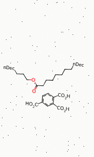 CCCCCCCCCCCCCCCCCC(=O)OCCCCCCCCCCCCC.O=C(O)c1ccc(C(=O)O)c(C(=O)O)c1